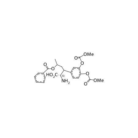 COC(=O)Oc1ccc(C(CC(C)OC(=O)c2ccccc2)[C@H](N)C(=O)O)cc1OC(=O)OC